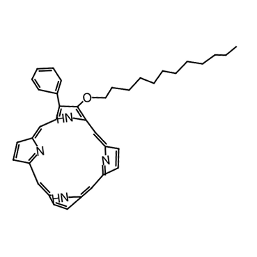 CCCCCCCCCCCCOc1c(-c2ccccc2)c2cc3nc(cc4ccc(cc5nc(cc1[nH]2)C=C5)[nH]4)C=C3